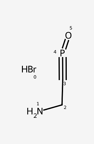 Br.NCC#P=O